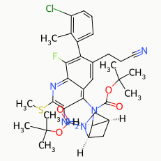 CSc1nc2c(F)c(-c3cccc(Cl)c3C)c(CCC#N)cc2c(N(C(=O)OC(C)(C)C)[C@H]2[C@@H]3C[C@H]2N(C(=O)OC(C)(C)C)C3)c1N